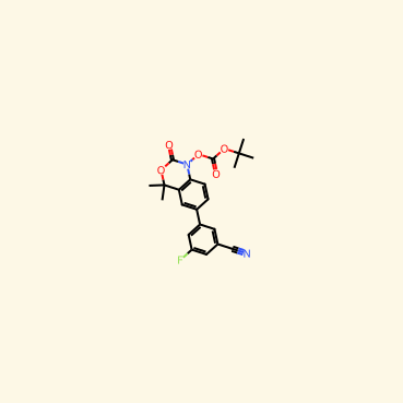 CC(C)(C)OC(=O)ON1C(=O)OC(C)(C)c2cc(-c3cc(F)cc(C#N)c3)ccc21